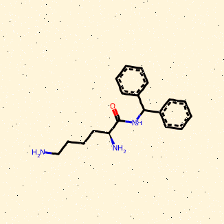 NCCCC[C@H](N)C(=O)NC(c1ccccc1)c1ccccc1